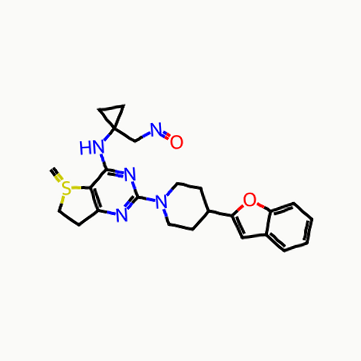 C=S1CCc2nc(N3CCC(c4cc5ccccc5o4)CC3)nc(NC3(CN=O)CC3)c21